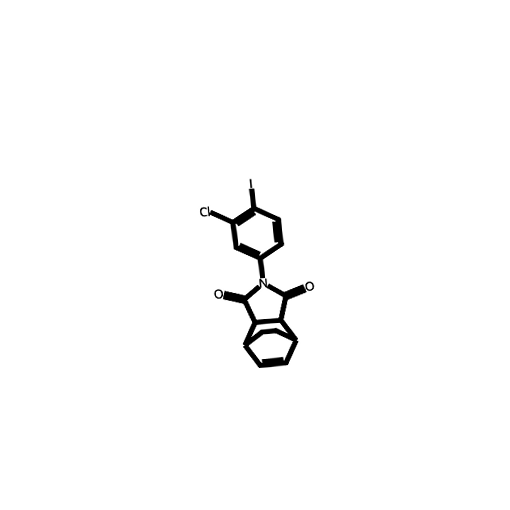 O=C1C2C3C=CC(CC3)C2C(=O)N1c1ccc(I)c(Cl)c1